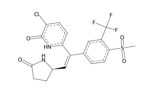 CS(=O)(=O)c1ccc(/C(=C/[C@H]2CCC(=O)N2)c2ccc(Cl)c(=O)[nH]2)cc1C(F)(F)F